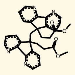 COC(=O)CCC1(CC2(CCC(=O)OC)c3cccnc3-c3ncccc32)c2cccnc2-c2ncccc21